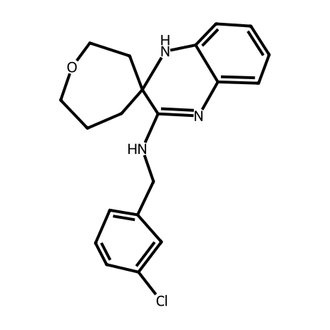 Clc1cccc(CNC2=Nc3ccccc3NC23CCCOCC3)c1